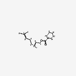 CC(C)=CCC/C(C)=C/COC(=O)C1CCCCC1